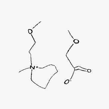 COCC(=O)[O-].COCC[N+]1(C)CCCC1